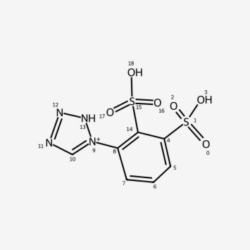 O=S(=O)(O)c1cccc(-[n+]2cnn[nH]2)c1S(=O)(=O)O